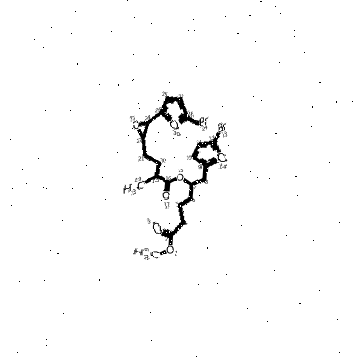 COC(=O)CCCC(Cc1ccc(Br)o1)OC(=O)C(C)CCC1OC1c1ccc(Br)o1